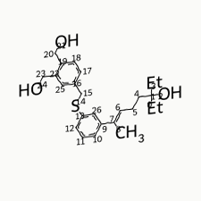 CCC(O)(CC)CCC=C(C)c1cccc(SCc2ccc(CO)c(CO)c2)c1